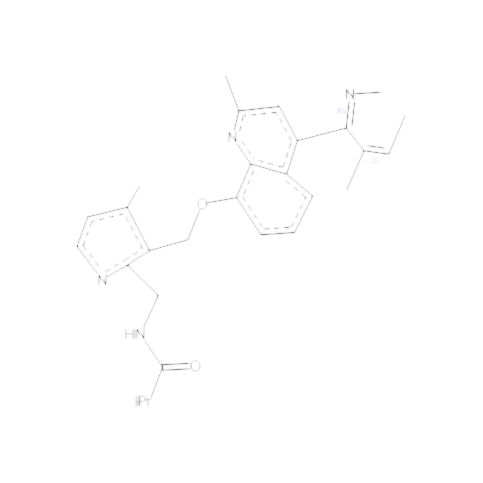 C/C=C(C)\C(=N/C)c1cc(C)nc2c(OCc3c(C)ccnc3CNC(=O)C(C)C)cccc12